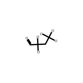 O=CC(Cl)(Cl)CC(Cl)(Cl)Cl